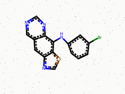 Brc1cccc(Nc2c3ncncc3cc3ncsc23)c1